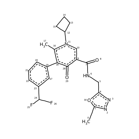 Cc1nnc(CNC(=O)c2cn(C3CCC3)c(C)c(-c3cccc(C(F)F)c3)c2=O)o1